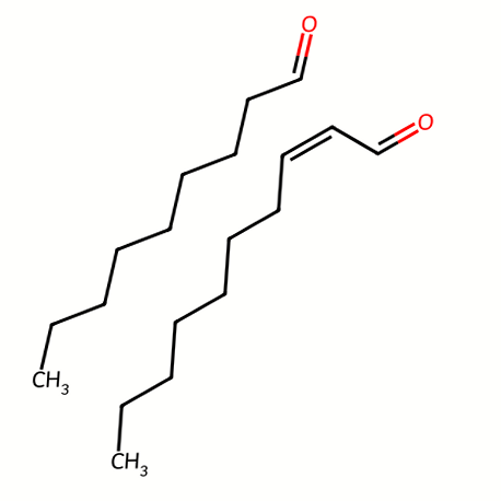 CCCCCCC/C=C\C=O.CCCCCCCCC=O